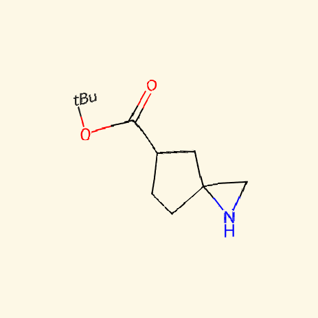 CC(C)(C)OC(=O)C1CCC2(CN2)C1